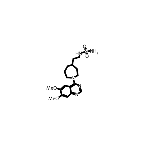 COc1cc2ncnc(N3CCCC(CCNS(N)(=O)=O)CC3)c2cc1OC